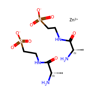 C[C@H](N)C(=O)NCCS(=O)(=O)[O-].C[C@H](N)C(=O)NCCS(=O)(=O)[O-].[Zn+2]